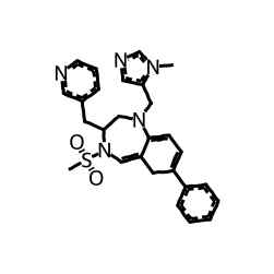 Cn1cncc1CN1CC(Cc2cccnc2)N(S(C)(=O)=O)C=C2CC(c3ccccc3)=CC=C21